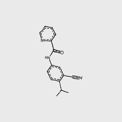 CC(C)c1ccc(NC(=O)c2ccccn2)cc1C#N